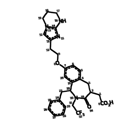 O=C(O)CC1Cc2ccc(OCCc3cn4c(n3)NCCC4)cc2C(Cc2ccccc2)N(CC(F)(F)F)C1=O